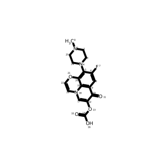 CN1CCN(c2c(F)cc3c(=O)c(OC(=O)O)cn4c3c2OC=C4)CC1